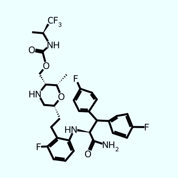 C[C@@H]1O[C@H](CCc2c(F)cccc2N[C@H](C(N)=O)C(c2ccc(F)cc2)c2ccc(F)cc2)CN[C@@H]1COC(=O)N[C@@H](C)C(F)(F)F